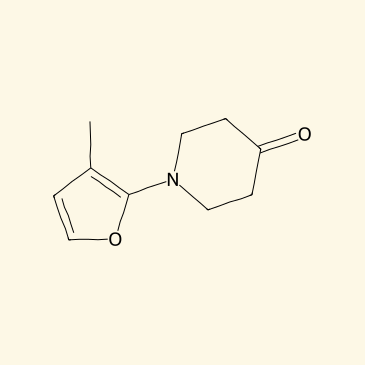 Cc1ccoc1N1CCC(=O)CC1